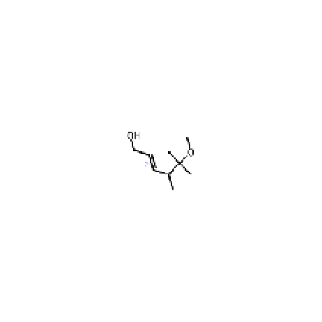 COC(C)(C)C(C)/C=C/CO